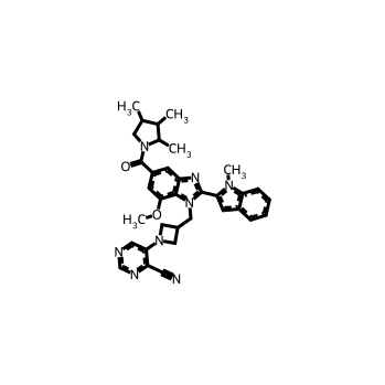 COc1cc(C(=O)N2CC(C)C(C)C2C)cc2nc(-c3cc4ccccc4n3C)n(CC3CN(c4cncnc4C#N)C3)c12